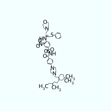 C=C(CC)CCC1=C(CN2CCN(c3ccc(C(=O)NS(=O)(=O)c4ccc(N[C@H](CCN5CCOCC5)CSc5ccccc5)c([N+](=O)[O-])c4)cc3)CC2)CCC(C)(C)C1